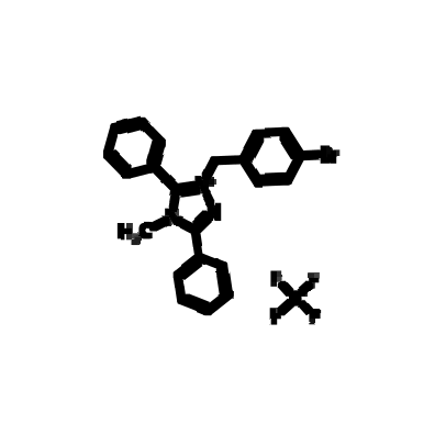 Cn1c(-c2ccccc2)n[n+](Cc2ccc(Br)cc2)c1-c1ccccc1.F[B-](F)(F)F